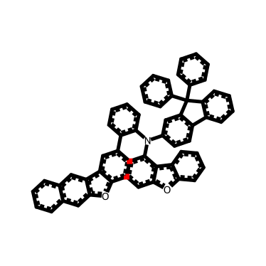 c1ccc(C2(c3ccccc3)c3ccccc3-c3ccc(N(c4ccccc4-c4ccc5oc6cc7ccccc7cc6c5c4)c4cccc5oc6ccccc6c45)cc32)cc1